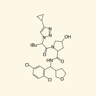 CC(C)(C)C(C(=O)N1CC(O)CC1C(=O)NC(c1cc(Cl)ccc1Cl)C1CCOC1)n1cc(C2CC2)nn1